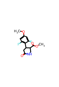 COC(=O)C1CNC(=O)CC1c1c(F)cc(OC)cc1F